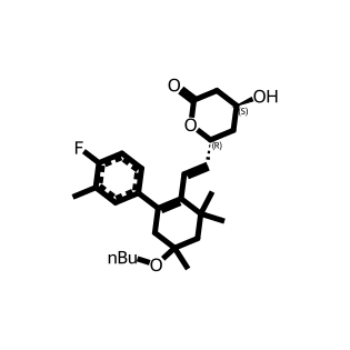 CCCCOC1(C)CC(c2ccc(F)c(C)c2)=C(C=C[C@H]2C[C@H](O)CC(=O)O2)C(C)(C)C1